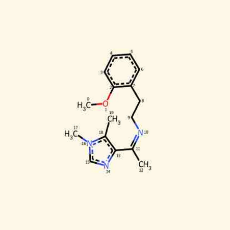 COc1ccccc1CCN=C(C)c1ncn(C)c1C